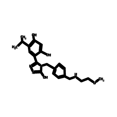 COCCNCc1ccc(Cn2c(O)nnc2-c2cc(C(C)C)c(O)cc2O)cc1